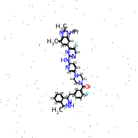 C=C1NN=C(Cc2ccc(F)c(C(=O)N3CCN(c4ccc(Nc5ncc(F)c(-c6cc(C)c7nc(C)n(C(C)C)c7c6)n5)nc4)CC3)c2)c2ccccc21